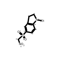 CCN1CCc2cc(S(=O)(=O)C[N+](=O)[O-])ccc21